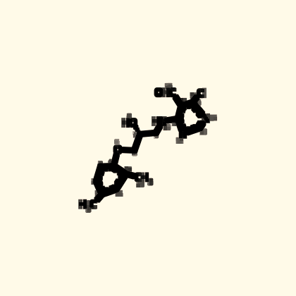 Cc1ccc(OC[C@H](O)CNc2ncnc(Cl)c2C=O)c(C)c1